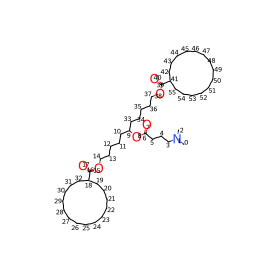 CN(C)CCCC(=O)OC(CCCCCOC(=O)C1CCCCCCCCCCCCCC1)CCCCCOC(=O)C1CCCCCCCCCCCCCC1